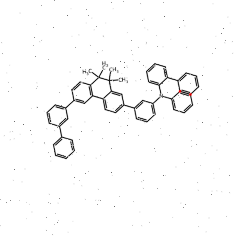 CC1(C)c2ccc(-c3cccc(-c4ccccc4)c3)cc2-c2ccc(-c3cccc(N(c4ccccc4)c4ccccc4-c4ccccc4)c3)cc2C1(C)C